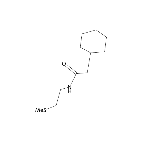 CSCCNC(=O)CC1CCCCC1